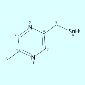 Cc1cnc([CH2][SnH])cn1